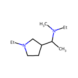 CCN1CCC(C(C)N(C)CC)C1